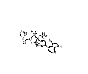 Cc1cc(-c2ccnc3[nH]cc(F)c23)cc(F)c1[C@@]1(O)[C@H](C)CN(C(=O)[C@@H]2CCCN2)C[C@@H]1C